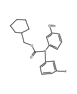 COc1cccc(N(C(=O)OCC2CCCCC2)c2cccc(F)c2)c1